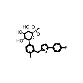 Cc1ccc([C@@H]2O[C@H](S(C)(=O)=O)[C@@H](O)[C@H](O)[C@H]2O)cc1Cc1ccc(-c2ccc(F)cc2)s1